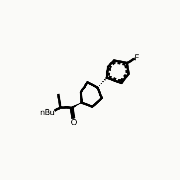 CCCCC(C)C(=O)[C@H]1CC[C@H](c2ccc(F)cc2)CC1